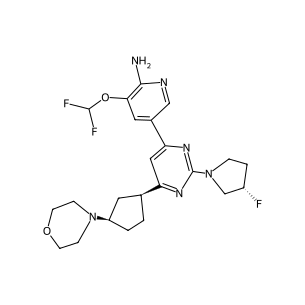 Nc1ncc(-c2cc([C@H]3CC[C@@H](N4CCOCC4)C3)nc(N3CC[C@H](F)C3)n2)cc1OC(F)F